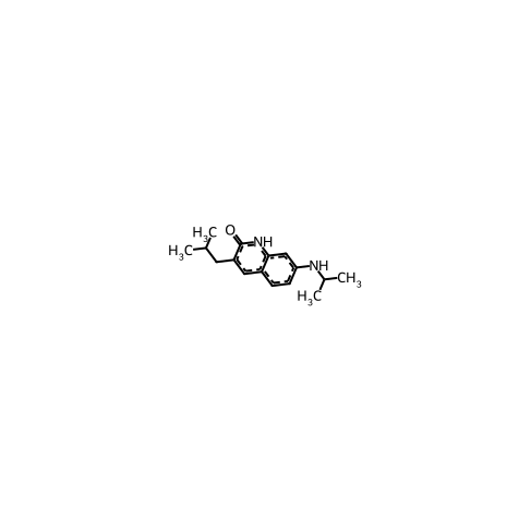 CC(C)Cc1cc2ccc(NC(C)C)cc2[nH]c1=O